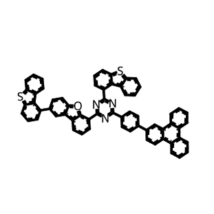 c1ccc2c(c1)sc1cccc(-c3ccc4oc5c(-c6nc(-c7ccc(-c8ccc9c%10ccccc%10c%10ccccc%10c9c8)cc7)nc(-c7cccc8sc9ccccc9c78)n6)cccc5c4c3)c12